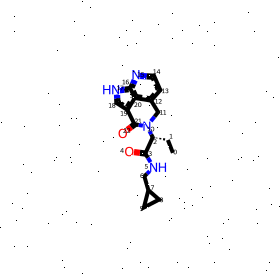 CC[C@H](C(=O)NCC1CC1)N1Cc2ccnc3[nH]cc(c23)C1=O